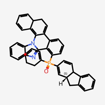 O=P(C1=C[C@H]2Cc3ccccc3C2C=C1)(C1=CC=CCC1)c1cccc2c3c(n4c5ccccc5nc4c12)=C1C=CC=CC1CC=3